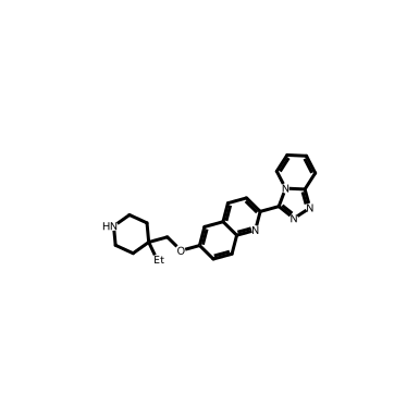 CCC1(COc2ccc3nc(-c4nnc5ccccn45)ccc3c2)CCNCC1